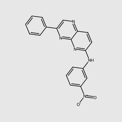 O=[N+]([O-])c1cccc(Nc2ccc3ncc(-c4ccccc4)nc3n2)c1